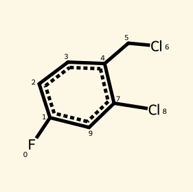 Fc1ccc(CCl)c(Cl)c1